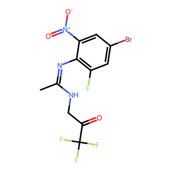 C/C(=N/c1c(F)cc(Br)cc1[N+](=O)[O-])NCC(=O)C(F)(F)F